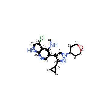 CNc1c(-c2cn(C3CCOCC3)nc2C2CC2)cnc2[nH]cc(Cl)c12